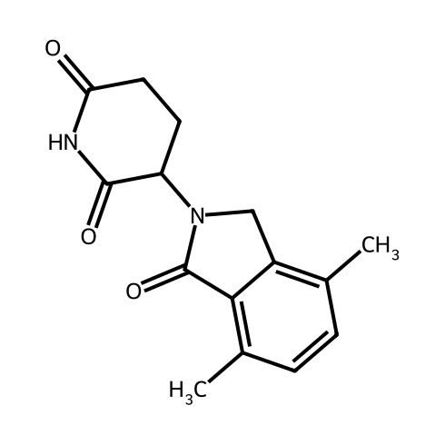 Cc1ccc(C)c2c1CN(C1CCC(=O)NC1=O)C2=O